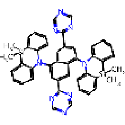 C[Si]1(C)c2ccccc2N(c2cc(-c3ncncn3)cc3c(N4c5ccccc5[Si](C)(C)c5ccccc54)cc(-c4ncncn4)cc23)c2ccccc21